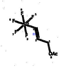 CC(=O)OC/C=C/S(F)(F)(F)(F)F